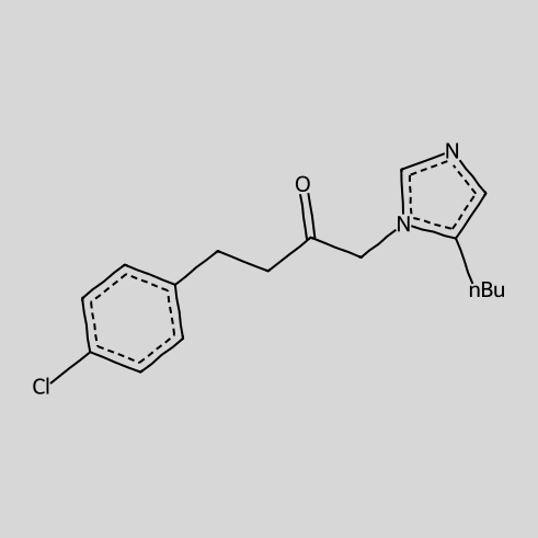 CCCCc1cncn1CC(=O)CCc1ccc(Cl)cc1